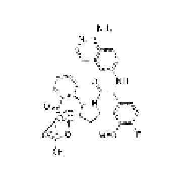 COc1cc([C@@H](Nc2ccc3c(N)nccc3c2)C(=O)N2CC[C@H](C(=O)OC(=O)C(F)(F)F)[C@H]2c2ccccc2S(=O)(=O)C2CC2)ccc1F